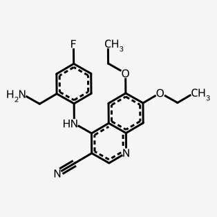 CCOc1cc2ncc(C#N)c(Nc3ccc(F)cc3CN)c2cc1OCC